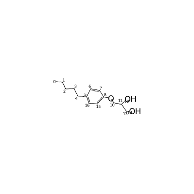 CCCCCc1ccc(OCC(O)CO)cc1